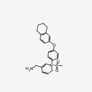 CS(=O)(=O)[N+]1(c2ccc(Oc3ccc4c(c3)CCCC4)cc2)C=C(CN)C=CC1